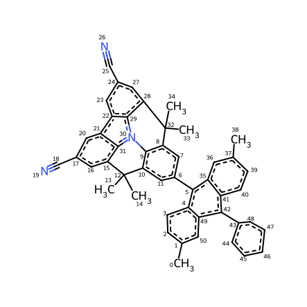 Cc1ccc2c(-c3cc4c5c(c3)C(C)(C)c3cc(C#N)cc6c7cc(C#N)cc(c7n-5c36)C4(C)C)c3cc(C)ccc3c(-c3ccccc3)c2c1